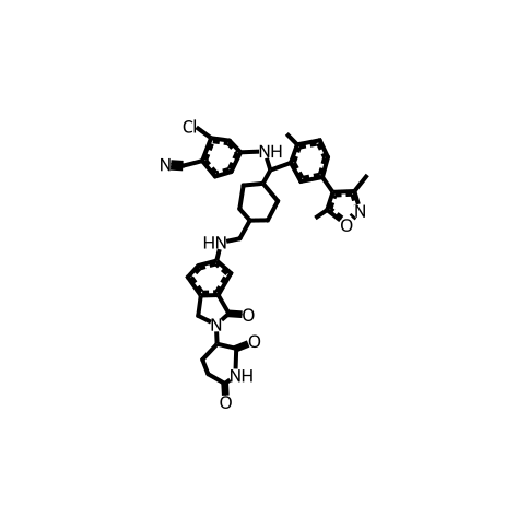 Cc1ccc(-c2c(C)noc2C)cc1C(Nc1ccc(C#N)c(Cl)c1)C1CCC(CNc2ccc3c(c2)C(=O)N(C2CCC(=O)NC2=O)C3)CC1